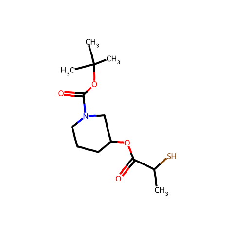 CC(S)C(=O)OC1CCCN(C(=O)OC(C)(C)C)C1